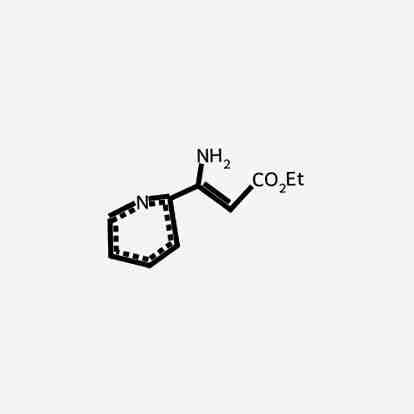 CCOC(=O)C=C(N)c1ccccn1